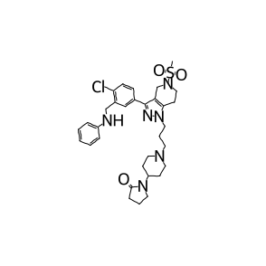 CS(=O)(=O)N1CCc2c(c(-c3ccc(Cl)c(CNc4ccccc4)c3)nn2CCCN2CCC(N3CCCC3=O)CC2)C1